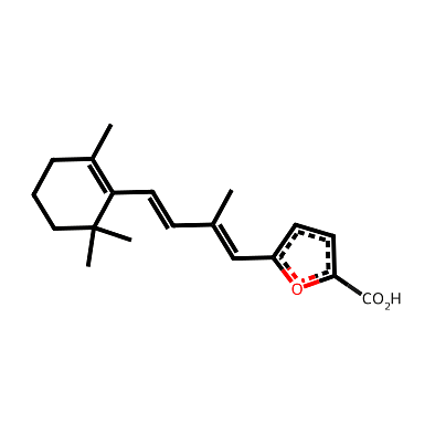 CC1=C(C=C/C(C)=C/c2ccc(C(=O)O)o2)C(C)(C)CCC1